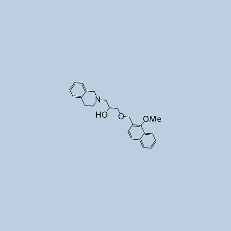 COc1c(COCC(O)CN2CCc3ccccc3C2)ccc2ccccc12